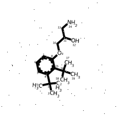 CC(C)(C)c1cccc(OCC(O)CN)c1C(C)(C)C